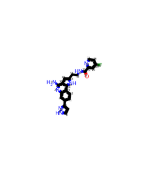 Nc1nc2cc(-c3cc[nH]n3)ccc2c2[nH]c(CCNC(=O)c3cc(F)ccn3)cc12